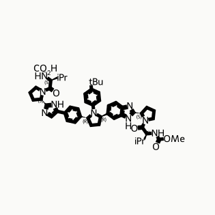 COC(=O)N[C@H](C(=O)N1CCC[C@H]1c1nc2ccc([C@H]3CC[C@H](c4ccc(-c5cnc([C@@H]6CCCN6C(=O)[C@@H](NC(=O)O)C(C)C)[nH]5)cc4)N3c3ccc(C(C)(C)C)cc3)cc2[nH]1)C(C)C